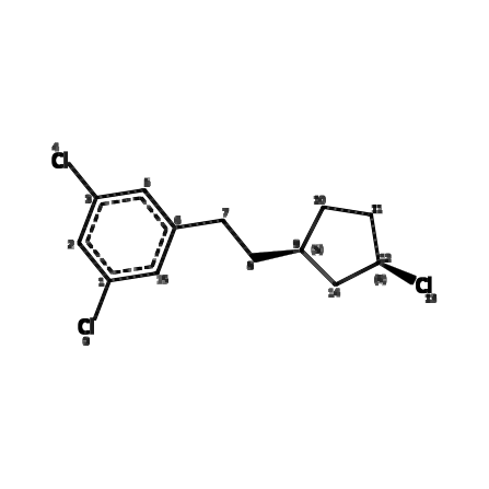 Clc1cc(Cl)cc(CC[C@H]2CC[C@@H](Cl)C2)c1